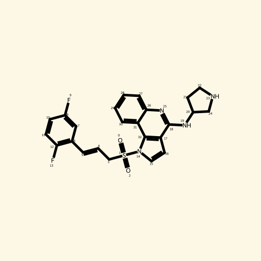 O=S(=O)(CC=Cc1cc(F)ccc1F)n1ccc2c(NC3CCNC3)nc3ccccc3c21